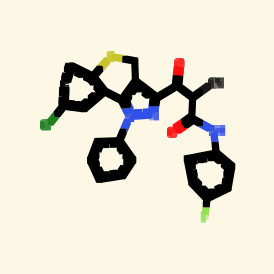 N#CC(C(=O)Nc1ccc(F)cc1)C(=O)c1nn(-c2ccccc2)c2c1CSc1ccc(Cl)cc1-2